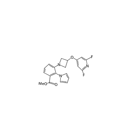 COC(=O)c1cccc(N2CC(Oc3cc(F)nc(F)c3)C2)c1-n1cccc1